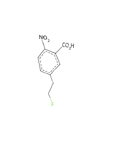 O=C(O)c1cc(CCF)ccc1[N+](=O)[O-]